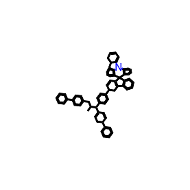 CC(Cc1ccc(-c2ccccc2)cc1)C(C1=CCC(c2ccccc2)C=C1)c1ccc(C2C=CC3=C(C2)c2ccccc2C32c3ccccc3N3C4=CC=CCC4c4cccc2c43)cc1